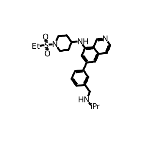 CCS(=O)(=O)N1CCC(Nc2cc(-c3cccc(CNC(C)C)c3)cc3ccncc23)CC1